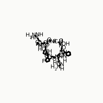 CC(=O)N[C@@H](CCCNC(=N)N)C(=O)N[C@H]1CCC(=O)NCCC[C@@H](C(=O)O)NC(=O)[C@H](Cc2c[nH]c3ccccc23)NC(=O)[C@H](CCCNC(=N)N)NC(=O)[C@@H](Cc2ccc(F)cc2)NC(=O)[C@@H]2CCCN2C1=O